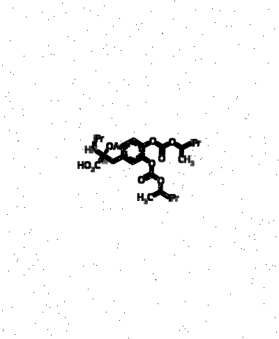 CC(=O)O[C@](Cc1ccc(OC(=O)OC(C)C(C)C)c(OC(=O)OC(C)C(C)C)c1)(NC(C)C)C(=O)O